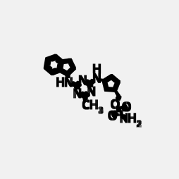 Cc1nc(NC2CCc3ccccc32)nc(N[C@@H]2CC[C@@H](COS(N)(=O)=O)C2)n1